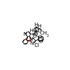 C=C[C@H]1C[N+]2(Cc3ccccc3)CC[C@H]1C[C@@H]2[C@@H](Oc1nc(-c2ccccc2)nc(Cl)c1-c1ccccc1)c1ccnc2ccccc12